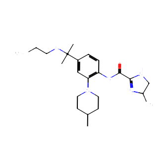 COCCNC(C)(C)c1ccc(NC(=O)C2=NC(C#N)CN2)c(N2CCC(C)CC2)c1